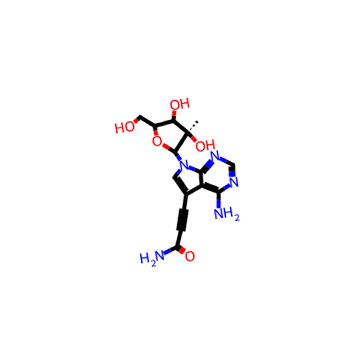 C[C@@]1(O)C(O)C(CO)OC1n1cc(C#CC(N)=O)c2c(N)ncnc21